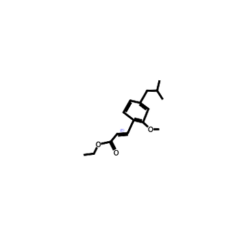 CCOC(=O)/C=C/c1ccc(CC(C)C)cc1OC